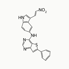 O=[N+]([O-])C=Cc1c[nH]c2ccc(Nc3ncnc4cc(-c5ccccc5)sc34)cc12